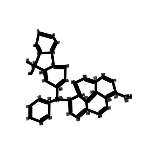 C[Si]1(C)c2ccccc2-c2ccc(N(c3ccccc3)c3ccc4ccc5c(O)ccc6ccc3c4c65)cc21